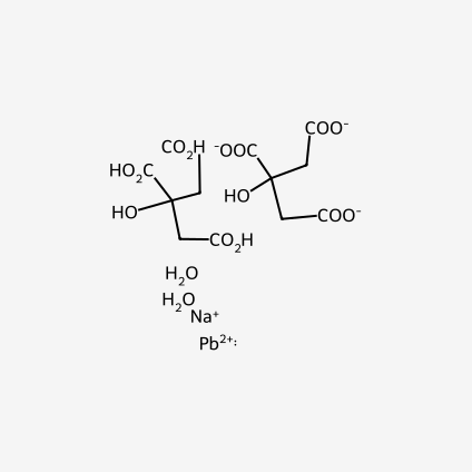 O.O.O=C(O)CC(O)(CC(=O)O)C(=O)O.O=C([O-])CC(O)(CC(=O)[O-])C(=O)[O-].[Na+].[Pb+2]